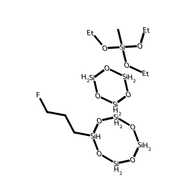 CCO[Si](C)(OCC)OCC.FCCC[SiH]1O[SiH2]O[SiH2]O[SiH2]O1.O1[SiH2]O[SiH2]O[SiH2]1